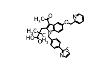 CC(=O)c1c(CC(C)(C)C(=O)O)n(Cc2ccc(-c3nccs3)cc2)c2ccc(OCc3ccccn3)cc12